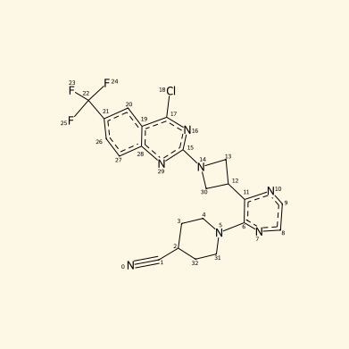 N#CC1CCN(c2nccnc2C2CN(c3nc(Cl)c4cc(C(F)(F)F)ccc4n3)C2)CC1